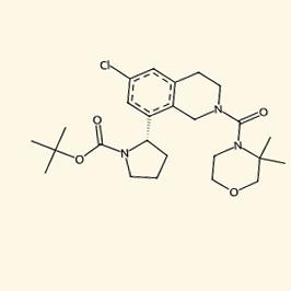 CC(C)(C)OC(=O)N1CCC[C@H]1c1cc(Cl)cc2c1CN(C(=O)N1CCOCC1(C)C)CC2